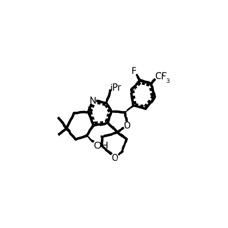 CC(C)c1nc2c(c3c1[C@@H](c1ccc(C(F)(F)F)c(F)c1)OC31CCOCC1)[C@@H](O)CC(C)(C)C2